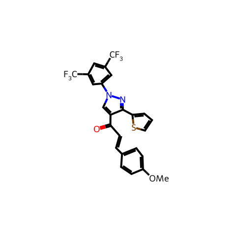 COc1ccc(C=CC(=O)c2cn(-c3cc(C(F)(F)F)cc(C(F)(F)F)c3)nc2-c2cccs2)cc1